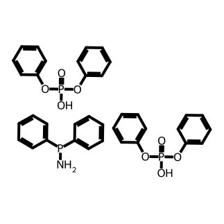 NP(c1ccccc1)c1ccccc1.O=P(O)(Oc1ccccc1)Oc1ccccc1.O=P(O)(Oc1ccccc1)Oc1ccccc1